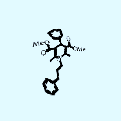 COC(=O)C1=C(C)N(CCCc2ccccc2)C(C)=C(C(=O)OC)C1c1ccccc1